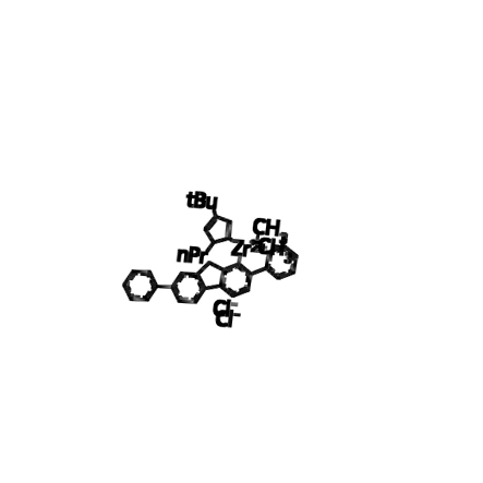 CCCC1C=C(C(C)(C)C)C=[C]1[Zr+2](=[C](C)C)[c]1c(-c2ccccc2)ccc2c1Cc1cc(-c3ccccc3)ccc1-2.[Cl-].[Cl-]